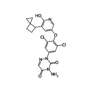 Nn1c(=O)cnn(-c2cc(Cl)c(Oc3cnc(O)c(C4CCC45CC5)c3)c(Cl)c2)c1=O